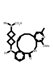 CCN(c1cccc2c1C/C=C\CCc1cc(C)nc(OC)c1CNC2=O)C1CC2(C1)CC(N(C(=O)O)C(C)(C)C)C2